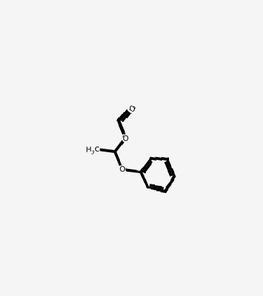 C[C](O[C]=O)Oc1ccccc1